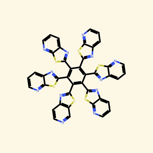 c1cnc2sc(-c3c(-c4nc5ccncc5s4)c(-c4nc5cccnc5s4)c(-c4nc5cccnc5s4)c(-c4nc5cccnc5s4)c3-c3nc4cccnc4s3)nc2c1